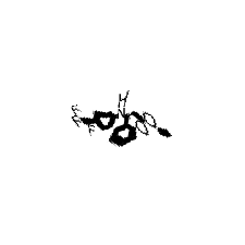 CCOC(=O)C[C@H](Nc1ccc(C(F)(F)F)cc1)c1ccccc1